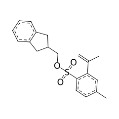 C=C(C)c1cc(C)ccc1S(=O)(=O)OCC1Cc2ccccc2C1